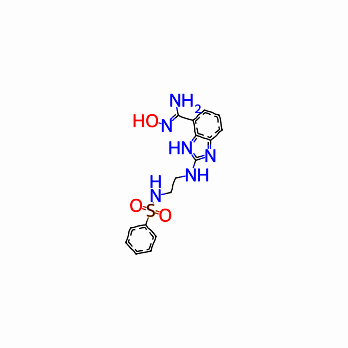 NC(=NO)c1cccc2nc(NCCNS(=O)(=O)c3ccccc3)[nH]c12